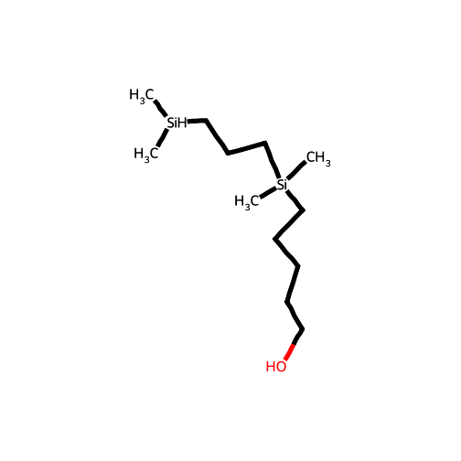 C[SiH](C)CCC[Si](C)(C)CCCCCO